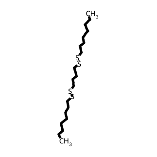 CCCCCCCCSSCCCCSSCCCCCCCC